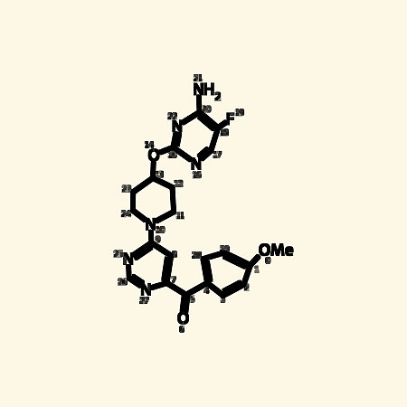 COc1ccc(C(=O)c2cc(N3CCC(Oc4ncc(F)c(N)n4)CC3)ncn2)cc1